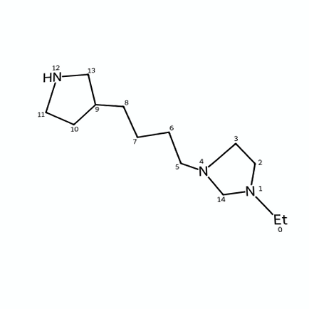 CCN1CCN(CCCCC2CCNC2)C1